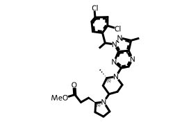 COC(=O)CC[C@@H]1CCCN1C1CCN(c2cnc3c(C)nn(C(C)c4ccc(Cl)cc4Cl)c3n2)[C@@H](C)C1